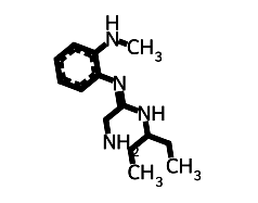 CCC(CC)N/C(CN)=N/c1ccccc1NC